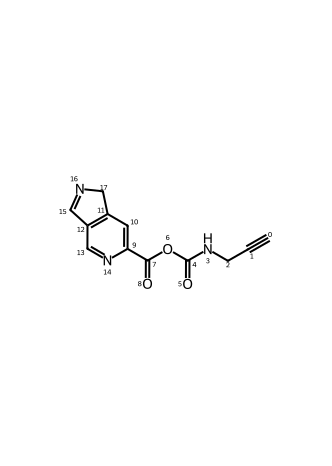 C#CCNC(=O)OC(=O)c1cc2c(cn1)C=NC2